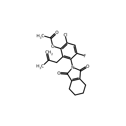 C=C(C)Cc1c(OC(C)=O)c(Cl)cc(F)c1N1C(=O)C2=C(CCCC2)C1=O